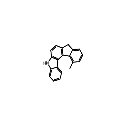 Cc1cccc2c1-c1c(ccc3[nH]c4ccccc4c13)C2